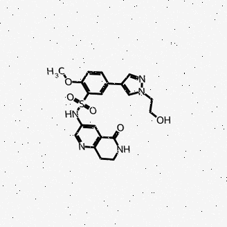 COc1ccc(-c2cnn(CCO)c2)cc1S(=O)(=O)Nc1cnc2c(c1)C(=O)NCC2